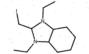 CCN1C2CCCCC2N(CC)C1CI